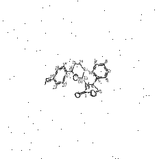 O=C1OCC(c2ccccc2)N1[C@@H]1CCCC(c2ccc(F)cc2)O1